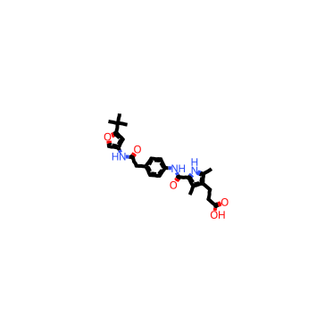 Cc1[nH]c(C(=O)Nc2ccc(CC(=O)Nc3coc(C(C)(C)C)c3)cc2)c(C)c1CCC(=O)O